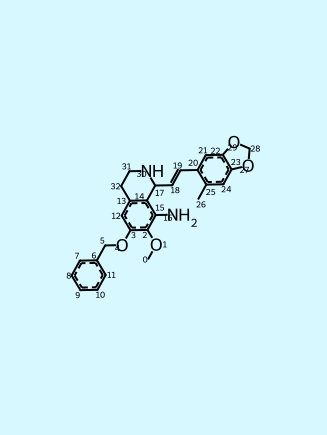 COc1c(OCc2ccccc2)cc2c(c1N)C(/C=C/c1cc3c(cc1C)OCO3)NCC2